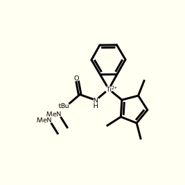 CC1=CC(C)[C]([Ti+2]2([NH]C(=O)C(C)(C)C)[c]3cccc[c]32)=C1C.C[N-]C.C[N-]C